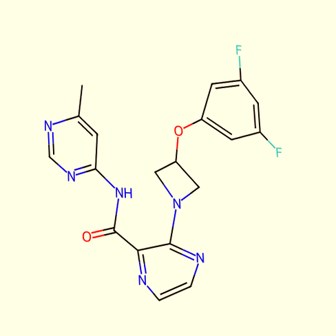 Cc1cc(NC(=O)c2nccnc2N2CC(Oc3cc(F)cc(F)c3)C2)ncn1